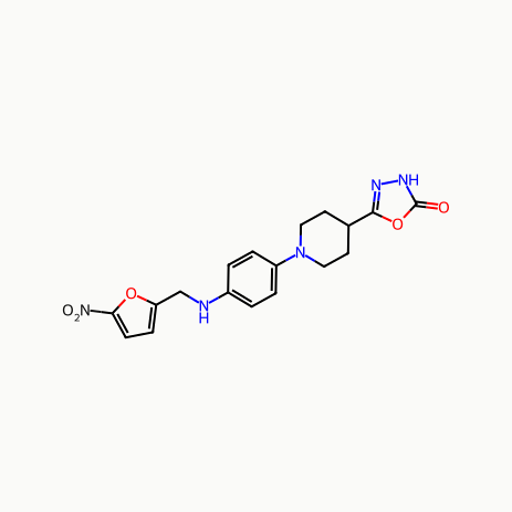 O=c1[nH]nc(C2CCN(c3ccc(NCc4ccc([N+](=O)[O-])o4)cc3)CC2)o1